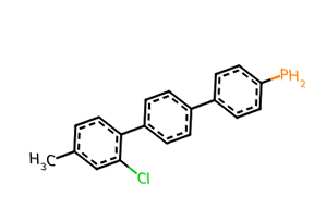 Cc1ccc(-c2ccc(-c3ccc(P)cc3)cc2)c(Cl)c1